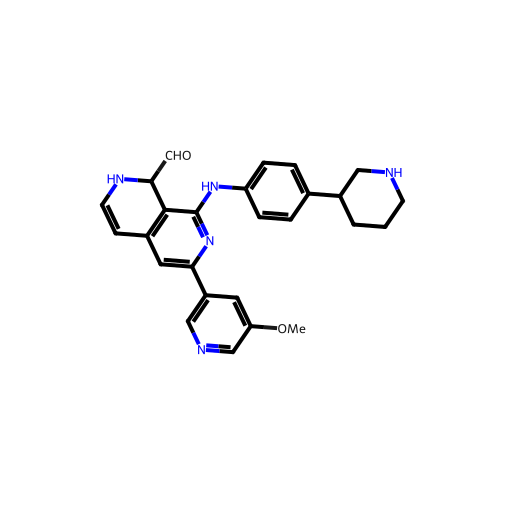 COc1cncc(-c2cc3c(c(Nc4ccc(C5CCCNC5)cc4)n2)C(C=O)NC=C3)c1